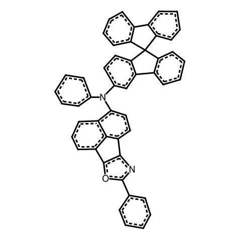 c1ccc(-c2nc3c(o2)-c2cccc4c(N(c5ccccc5)c5ccc6c(c5)-c5ccccc5C65c6ccccc6-c6ccccc65)ccc-3c24)cc1